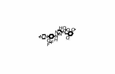 COc1ccc(OC)c(CN(C(=O)O)c2ccnc(Nc3ccc(N4CCN(C)CC4)c(OC(F)F)c3)n2)c1